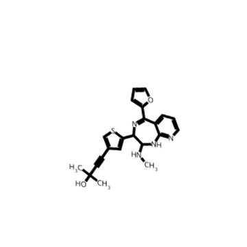 CNC1Nc2ncccc2C(c2ccco2)=NC1c1cc(C#CC(C)(C)O)cs1